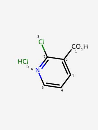 Cl.O=C(O)c1cccnc1Cl